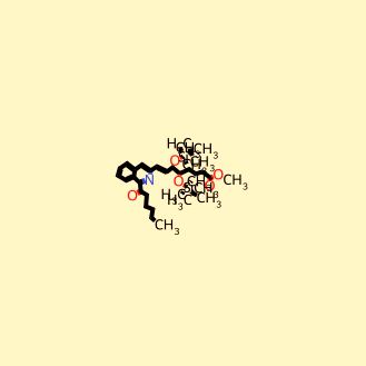 CCCCCC(=O)c1nc(/C=C/[C@@H](O[Si](C)(C)C(C)(C)C)C(CCCC(=O)OC)O[Si](C)(C)C(C)(C)C)cc2ccccc12